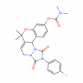 CN(C)C(=O)Oc1ccc2c(c1)OC(C)(C)C1=CCn3c(=O)n(-c4ccc(F)cc4)c(=O)n3C12